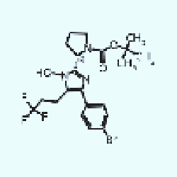 CC(C)(C)OC(=O)N1CCC[C@H]1c1nc(-c2ccc(Br)cc2)c(CCC(F)(F)F)n1O